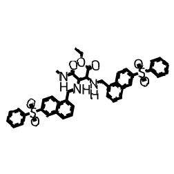 CCOC(=O)C(NCc1cccc2cc(S(=O)(=O)c3ccccc3)ccc12)C(NCc1cccc2cc(S(=O)(=O)c3ccccc3)ccc12)C(=O)NC